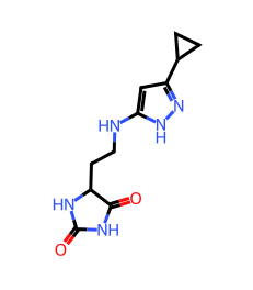 O=C1NC(=O)C(CCNc2cc(C3CC3)n[nH]2)N1